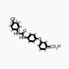 O=C(Nc1ccc(Oc2cccc(C(=O)O)c2)cc1)Nc1ccc(C(F)(F)F)cc1